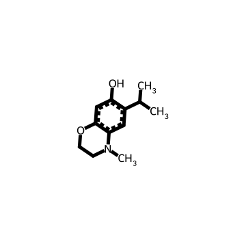 CC(C)c1cc2c(cc1O)OCCN2C